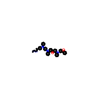 C=C(/C=C\C=C/C)c1ccc(N(c2ccccc2)c2ccc(-n3c4ccccc4c4c5oc6c(ccc7c6c6ccccc6n7-c6ccc7oc8ccccc8c7c6)c5ccc43)cc2)cc1